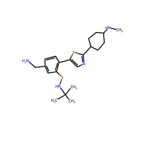 CNC1CCC(c2ncc(-c3ccc(CN)cc3SNC(C)(C)C)s2)CC1